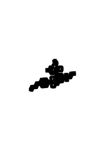 CCCCc1ccc(C(=O)Oc2c(C)cc(C(C)(C)CCC)cc2C(CC(C)C)C(=O)OCC)cc1